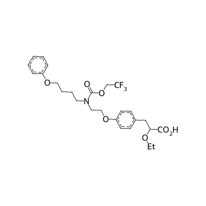 CCOC(Cc1ccc(OCCN(CCCCOc2ccccc2)C(=O)OCC(F)(F)F)cc1)C(=O)O